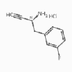 C#C[C@@H](N)Cc1cccc(F)c1.Cl